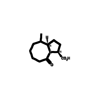 CC1CCCCC(=O)N2[C@@H]1CC[C@H]2C(=O)O